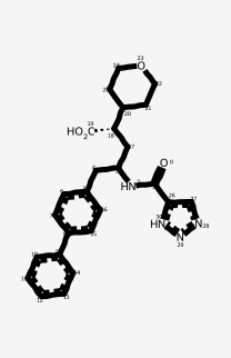 O=C(NC(Cc1ccc(-c2ccccc2)cc1)C[C@H](C(=O)O)C1CCOCC1)c1cnn[nH]1